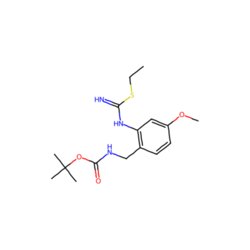 CCSC(=N)Nc1cc(OC)ccc1CNC(=O)OC(C)(C)C